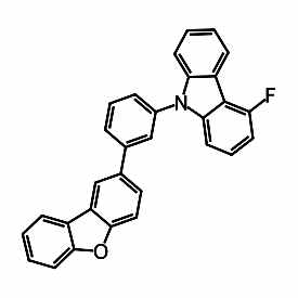 Fc1cccc2c1c1ccccc1n2-c1cccc(-c2ccc3oc4ccccc4c3c2)c1